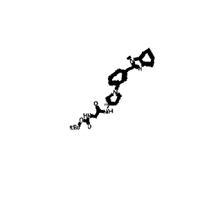 Cn1c(-c2cccc(N3CC[C@H](NC(=O)CNC(=O)OC(C)(C)C)C3)c2)nc2ccccc21